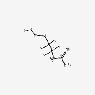 CCCCC(C)(C)C(C)(C)NC(=N)N